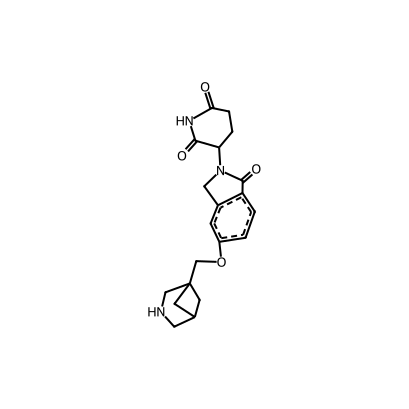 O=C1CCC(N2Cc3cc(OCC45CNCC(C4)C5)ccc3C2=O)C(=O)N1